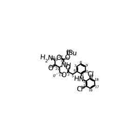 C[C@@H](OC(=O)Cc1ccccc1Nc1c(Cl)cccc1Cl)[C@H](NC(=O)OC(C)(C)C)C(=O)CN